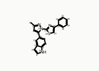 Cc1cc(-c2ccc3[nH]ccc3c2)n(-c2nc(-c3ccccc3)cs2)n1